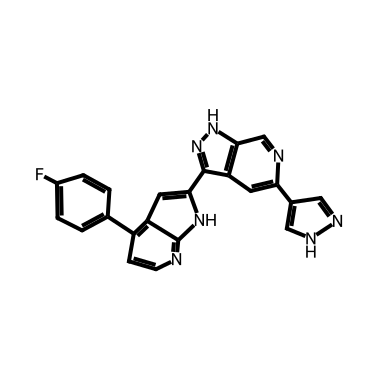 Fc1ccc(-c2ccnc3[nH]c(-c4n[nH]c5cnc(-c6cn[nH]c6)cc45)cc23)cc1